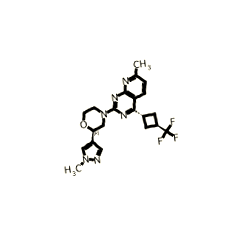 Cc1ccc2c(n1)nc(N1CCO[C@H](c3cnn(C)c3)C1)nc2[C@H]1C[C@H](C(F)(F)F)C1